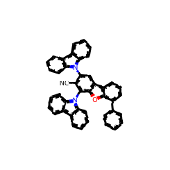 N#Cc1c(-n2c3ccccc3c3ccccc32)cc2c(oc3c(-c4ccccc4)cccc32)c1-n1c2ccccc2c2ccccc21